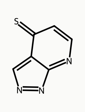 S=C1C=CN=C2N=NC=C12